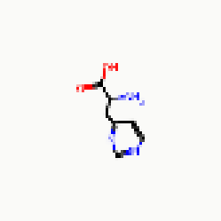 N[C@@H](Cc1ccncn1)C(=O)O